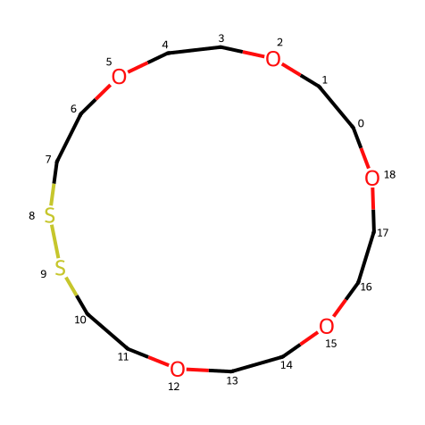 C1COCCOCCSSCCOCCOCCO1